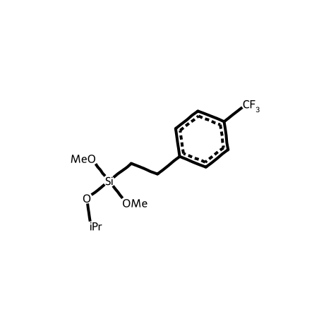 CO[Si](CCc1ccc(C(F)(F)F)cc1)(OC)OC(C)C